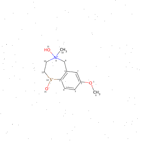 COc1ccc2c(c1)C[N+](C)(O)CC[S+]2[O-]